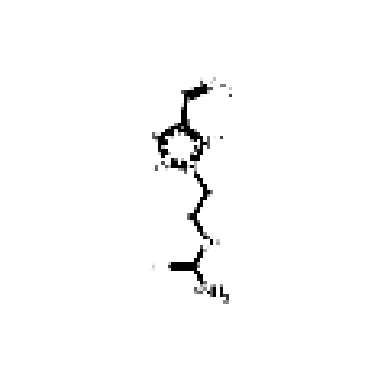 C=Cc1cnn(CCOC(N)=O)n1